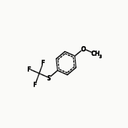 COc1ccc(SC(F)(F)F)cc1